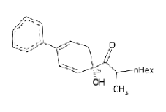 CCCCCCC(C)C(=O)[C@@]1(O)C=CC(c2ccccc2)=CC1